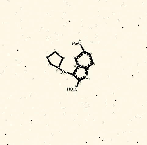 COc1ccc2oc(C(=O)O)c(OC3CCCC3)c2c1